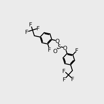 O=S(Oc1ccc(CC(F)(F)F)cc1F)Oc1ccc(CC(F)(F)F)cc1F